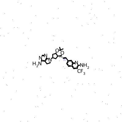 CC1(C)OC2CC(N3CCc4c(N)ncnc43)CC2[C@@H](/C=C/c2ccc3cc(C(F)(F)F)c(N)nc3c2)O1